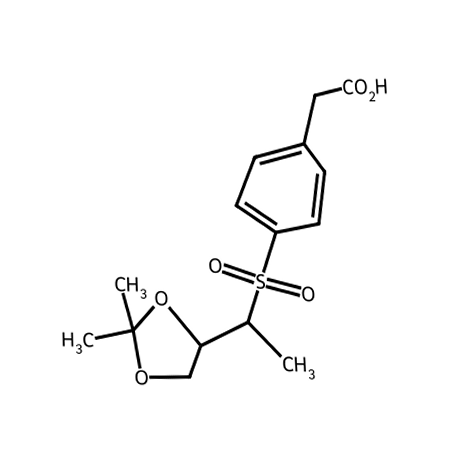 CC(C1COC(C)(C)O1)S(=O)(=O)c1ccc(CC(=O)O)cc1